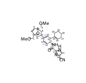 COCC12C=C[C@@](COC)(CC(C(/C=C\CNC(=O)c3nc(C#N)c[nH]3)=C/CC3=CCCCC3)C1)O2